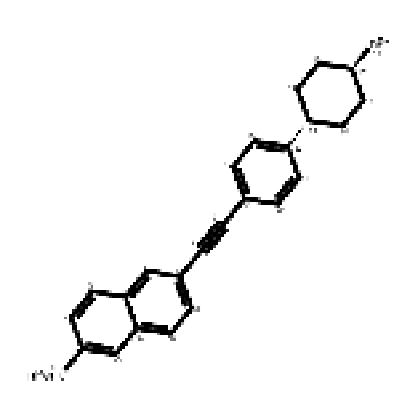 CCCCCc1ccc2cc(C#Cc3ccc([C@H]4CC[C@H](CCC)CC4)cc3)ccc2c1